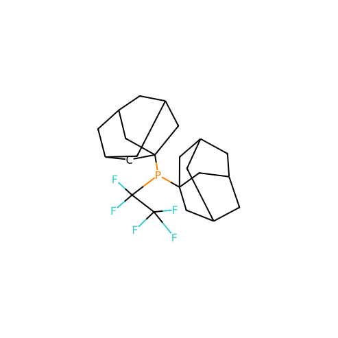 FC(F)(F)C(F)(F)P(C12CC3CC(CC(C3)C1)C2)C12CC3CC(CC(C3)C1)C2